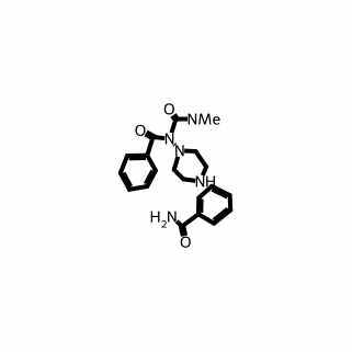 CNC(=O)N(C(=O)c1ccccc1)N1CCNCC1.NC(=O)c1ccccc1